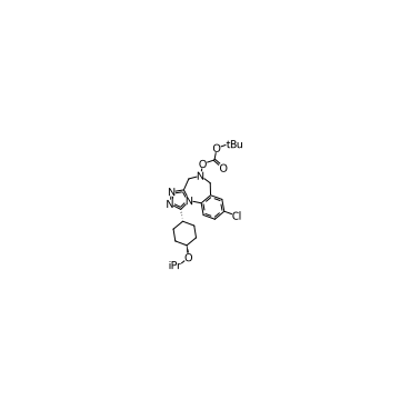 CC(C)O[C@H]1CC[C@H](c2nnc3n2-c2ccc(Cl)cc2CN(OC(=O)OC(C)(C)C)C3)CC1